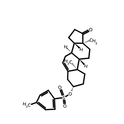 Cc1ccc(S(=O)(=O)O[C@H]2CC[C@@]3(C)C(=CC[C@@H]4[C@@H]3CC[C@]3(C)C(=O)CC[C@@H]43)C2)cc1